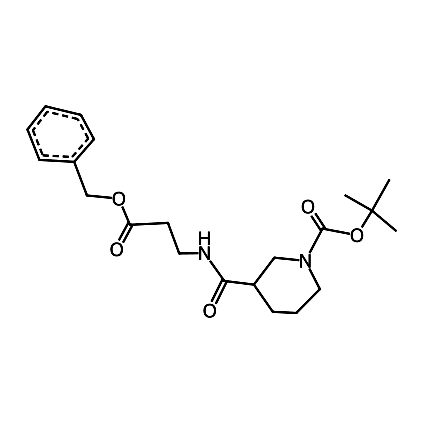 CC(C)(C)OC(=O)N1CCCC(C(=O)NCCC(=O)OCc2ccccc2)C1